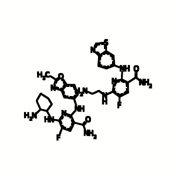 Cc1nc2cc(Nc3nc(NC4CCCCC4N)c(F)cc3C(N)=O)ccc2o1.NCCNc1nc(Nc2ccc3ncsc3c2)c(C(N)=O)cc1F